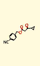 N#Cc1ccc(COC(=O)CC(=O)C2CC2)cc1